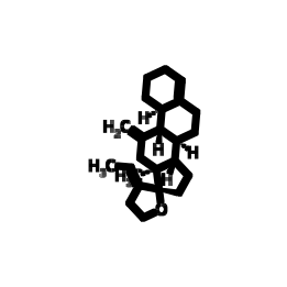 C=C1C[C@@]2(C)[C@@H](CC[C@]23OCC/C3=C\C)[C@@H]2CCC3=CCCC[C@@H]3[C@@H]12